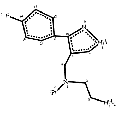 CC(C)N(CCN)Cc1c[nH]nc1-c1ccc(F)cc1